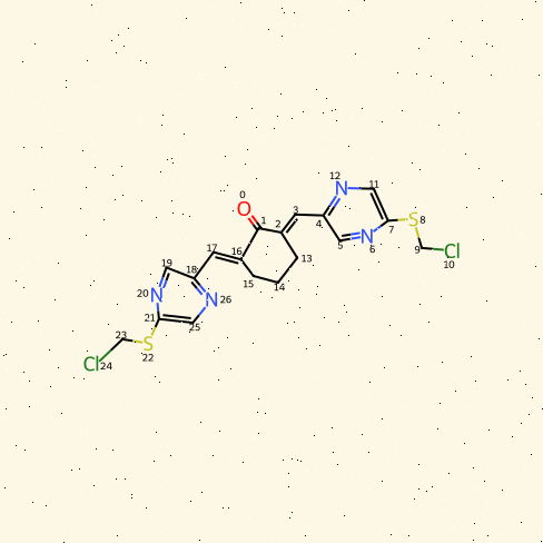 O=C1/C(=C/c2cnc(SCCl)cn2)CCC/C1=C\c1cnc(SCCl)cn1